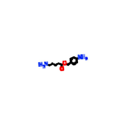 NCCCCC(=O)OCc1ccc(N)cc1